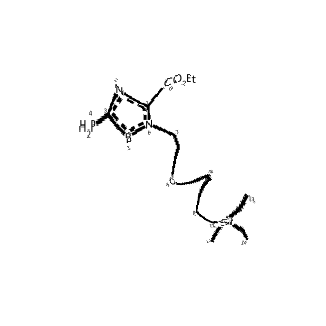 CCOC(=O)c1nc(P)bn1COCC[Si](C)(C)C